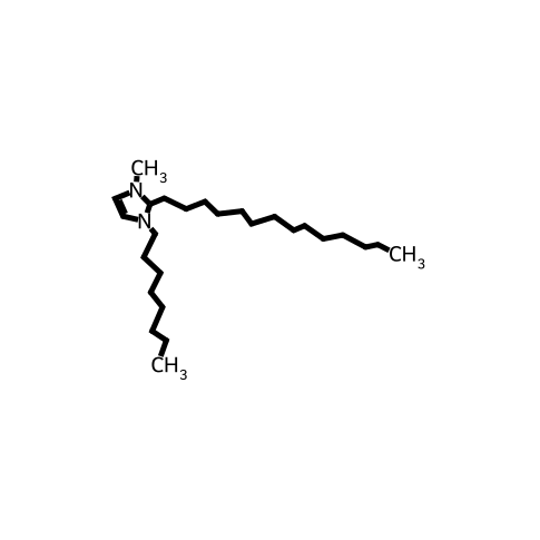 CCCCCCCCCCCCCCC1N(C)C=CN1CCCCCCCC